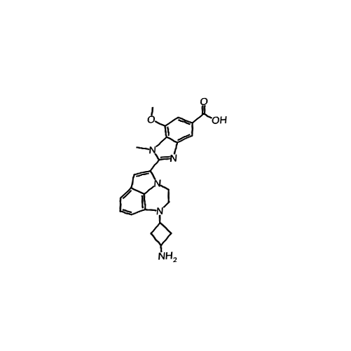 COc1cc(C(=O)O)cc2nc(-c3cc4cccc5c4n3CCN5C3CC(N)C3)n(C)c12